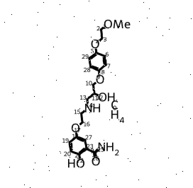 C.COCCOc1ccc(OCC(O)CNCCOc2ccc(O)c(C(N)=O)c2)cc1